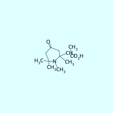 CC(=O)O.CN1C(C)(C)CC(=O)CC1(C)C